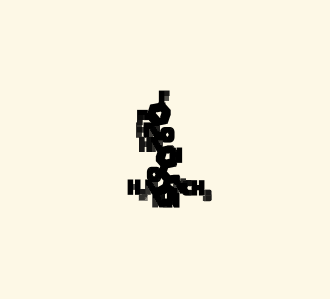 Cn1cc(C(=O)c2cncc(NC(=O)Nc3ccc(F)cc3F)c2)c2c(N)ncnc21